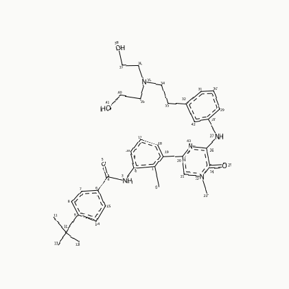 Cc1c(NC(=O)c2ccc(C(C)(C)C)cc2)cccc1-c1cn(C)c(=O)c(Nc2cccc(CCN(CCO)CCO)c2)n1